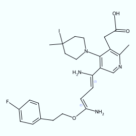 Cc1ncc(/C(N)=C/C=C(\N)OCCc2ccc(F)cc2)c(N2CCC(C)(I)CC2)c1CC(=O)O